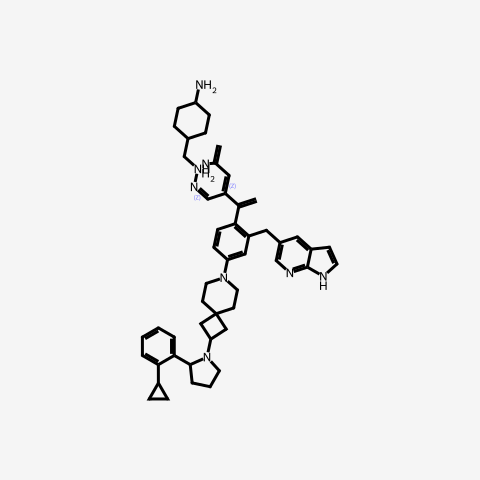 C=C(N)/C=C(\C=N/NCC1CCC(N)CC1)C(=C)c1ccc(N2CCC3(CC2)CC(N2CCCC2c2ccccc2C2CC2)C3)cc1Cc1cnc2[nH]ccc2c1